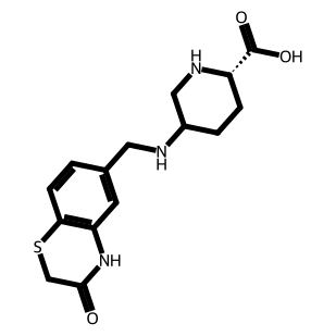 O=C1CSc2ccc(CNC3CC[C@@H](C(=O)O)NC3)cc2N1